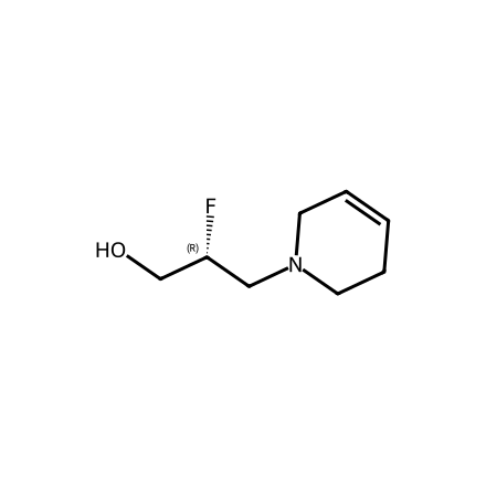 OC[C@H](F)CN1CC=CCC1